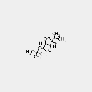 CC(C)C1(F)CO[C@@H]2[C@H](OC(C)(C)C)CO[C@@H]21